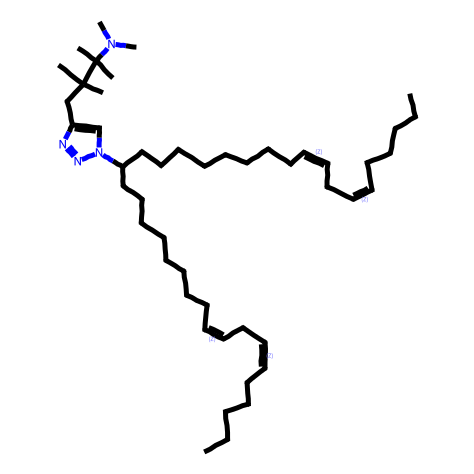 CCCCC/C=C\C/C=C\CCCCCCCCC(CCCCCCCC/C=C\C/C=C\CCCCC)n1cc(CC(C)(C)C(C)(C)N(C)C)nn1